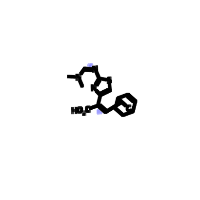 CN(C)/C=N\c1nc(/C(=C\C2CC3C=CC2CC3)C(=O)O)cs1